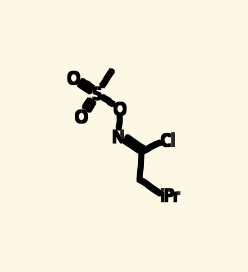 CC(C)CC(Cl)=NOS(C)(=O)=O